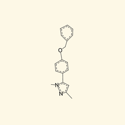 Cc1cc(-c2ccc(OCc3ccccc3)cc2)n(C)n1